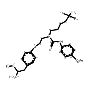 CCOC(Cc1ccc(OCCN(CCCCC(C)(F)F)C(=O)Nc2ccc(OC)cc2)cc1)C(=O)O